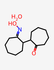 O.O=C1CCCCCC1C1CCCCCC1=NO